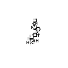 CN[C@@H](c1ccc(N2CCCc3c2cnc2cc(Cl)nn32)c(F)c1)C(F)(F)F